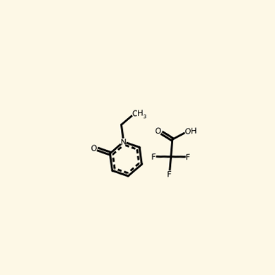 CCn1ccccc1=O.O=C(O)C(F)(F)F